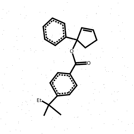 CCC(C)(C)c1ccc(C(=O)OC2(c3ccccc3)C=CCC2)cc1